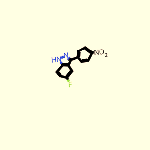 O=[N+]([O-])c1ccc(-c2n[nH]c3ccc(F)cc23)cc1